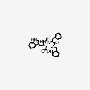 CC(NC(Cc1ccccc1)C(=O)N(C)Cc1ccccc1)N[C@H](CC(=O)O)Cc1c[nH]c2ccccc12